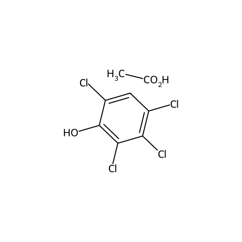 CC(=O)O.Oc1c(Cl)cc(Cl)c(Cl)c1Cl